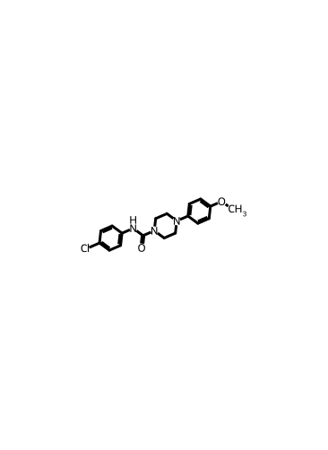 COc1ccc(N2CCN(C(=O)Nc3ccc(Cl)cc3)CC2)cc1